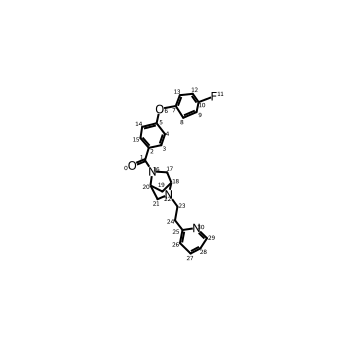 O=C(c1ccc(Oc2ccc(F)cc2)cc1)N1CC2CC1CN2CCc1ccccn1